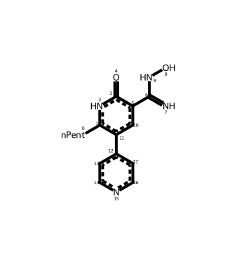 CCCCCc1[nH]c(=O)c(C(=N)NO)cc1-c1ccncc1